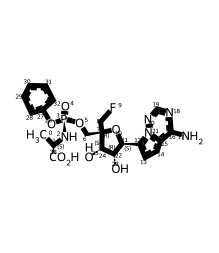 C[C@H](N[P@@](=O)(OC[C@@]1(CF)O[C@@H](c2ccc3c(N)ncnn23)[C@H](O)[C@@H]1O)Oc1ccccc1)C(=O)O